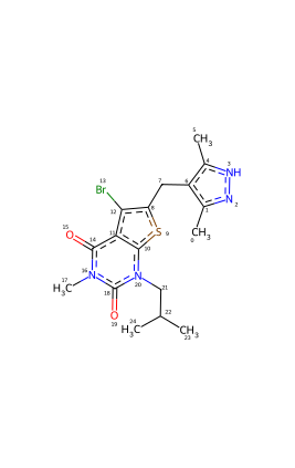 Cc1n[nH]c(C)c1Cc1sc2c(c1Br)c(=O)n(C)c(=O)n2CC(C)C